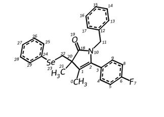 CC1=C(c2ccc(F)cc2)N(Cc2ccccc2)C(=O)C1(C)C[Se]c1ccccc1